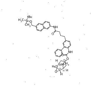 CN1[C@@H]2C[C@@H](OC(=O)Nc3ccc(CCCC(=O)Nc4ccc5cc(CO[Si](C)(C)C(C)(C)C)ccc5c4)cc3-c3ccccc3)C[C@H]1[C@@H]1O[C@@H]12